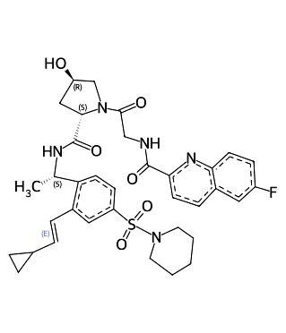 C[C@H](NC(=O)[C@@H]1C[C@@H](O)CN1C(=O)CNC(=O)c1ccc2cc(F)ccc2n1)c1ccc(S(=O)(=O)N2CCCCC2)cc1/C=C/C1CC1